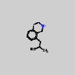 CC(C)Cc1cccc2c1CNCC2